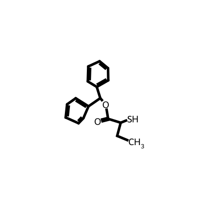 CCC(S)C(=O)OC(c1ccccc1)c1ccccc1